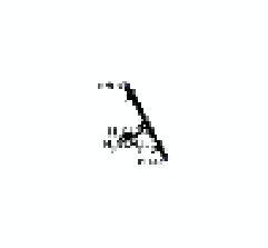 CCCCCC/C=C\COC(=O)CCCCCCCC(CCCCCCCC(=O)OC/C=C\CCCCCC)OC(=O)NCC(C)CC(C)(C)CN(C)C